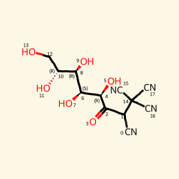 N#CC(C(=O)[C@H](O)[C@@H](O)[C@H](O)[C@H](O)CO)C(C#N)(C#N)C#N